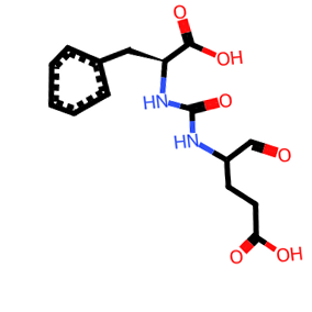 O=CC(CCC(=O)O)NC(=O)N[C@@H](Cc1ccccc1)C(=O)O